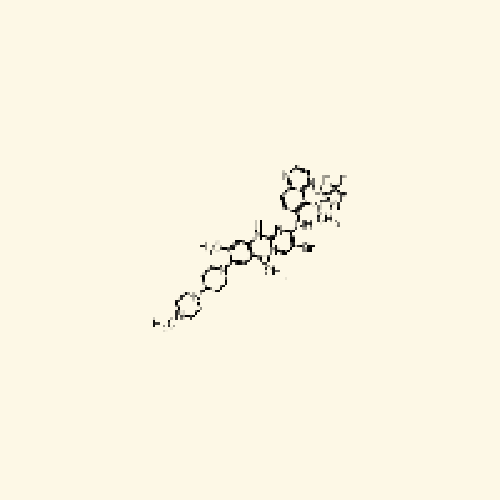 COc1cc(N2CCC(N3CCN(C)CC3)CC2)c(C)cc1Nc1ncc(Br)c(Nc2ccc3nccnc3c2N(C)S(=O)(=O)C(F)(F)F)n1